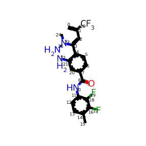 C=C(/C=C(/c1ccc(C(=O)Nc2ccc(C)c(F)c2F)cc1N)N(C)N)C(F)(F)F